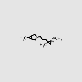 CC[C@@H]1CC1(C)CCCN1CC2C(C)C2C1